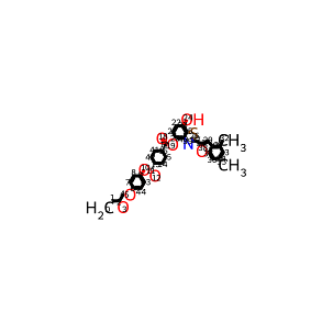 C=CC(=O)COc1ccc(OC(=O)[C@H]2CC[C@H](C(=O)Oc3ccc(O)c4sc(-c5cc6c(C)cc(C)cc6o5)nc34)CC2)cc1